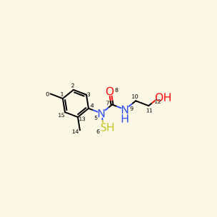 Cc1ccc(N(S)C(=O)NCCO)c(C)c1